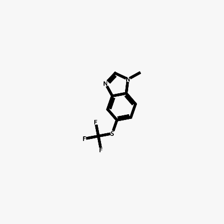 Cn1[c]nc2cc(SC(F)(F)F)ccc21